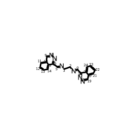 C(=NCCN=Cc1nncc2ccccc12)c1nncc2ccccc12